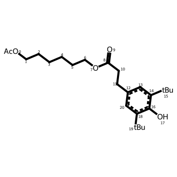 CC(=O)OCCCCCCOC(=O)CCc1cc(C(C)(C)C)c(O)c(C(C)(C)C)c1